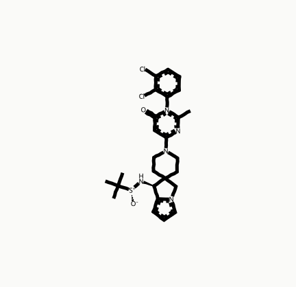 Cc1nc(N2CCC3(CC2)Cn2cccc2[C@H]3N[S@+]([O-])C(C)(C)C)cc(=O)n1-c1cccc(Cl)c1Cl